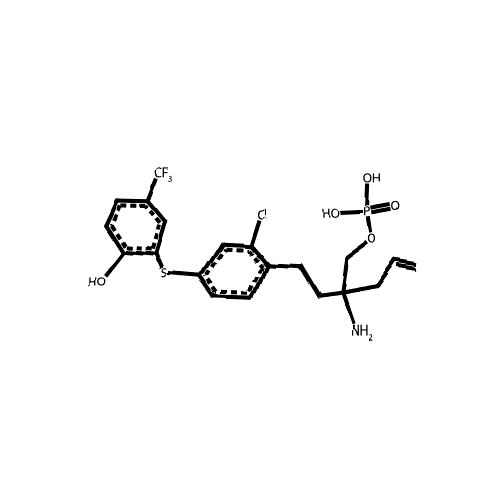 C=CCC(N)(CCc1ccc(Sc2cc(C(F)(F)F)ccc2O)cc1Cl)COP(=O)(O)O